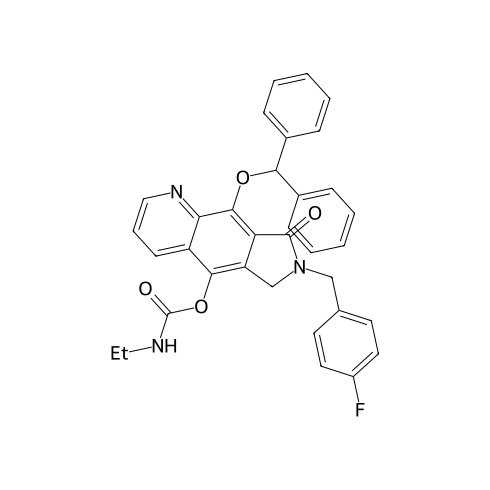 CCNC(=O)Oc1c2c(c(OC(c3ccccc3)c3ccccc3)c3ncccc13)C(=O)N(Cc1ccc(F)cc1)C2